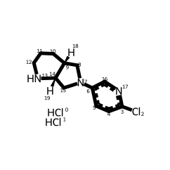 Cl.Cl.Clc1ccc(N2C[C@H]3CCCN[C@H]3C2)cn1